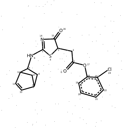 O=C(CC1SC(NC2CC3C=CC2C3)=NC1=O)Oc1ccccc1Cl